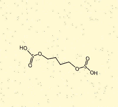 O=S(O)OCCCCOS(=O)O